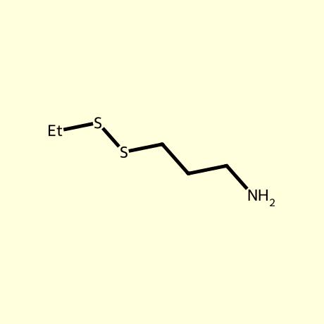 CCSSCCCN